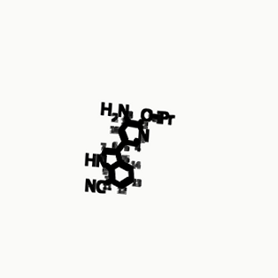 CC(C)Oc1ncc(-c2c[nH]c3c(C#N)cccc23)cc1N